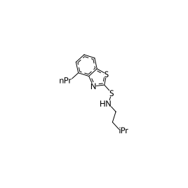 CCCc1cccc2sc(SNCCC(C)C)nc12